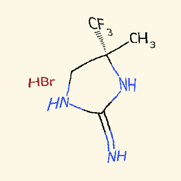 Br.C[C@]1(C(F)(F)F)CNC(=N)N1